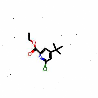 CCOC(=O)c1cc(C(C)(C)C)cc(Cl)n1